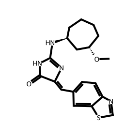 CO[C@H]1CCCC[C@H](NC2=N/C(=C\c3ccc4ncsc4c3)C(=O)N2)C1